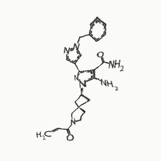 C=CC(=O)N1CC[C@]2(C1)C[C@H](n1nc(-c3cnn(Cc4ccccc4)c3)c(C(N)=O)c1N)C2